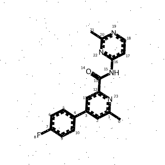 Cc1cc(-c2ccc(F)cc2)cc(C(=O)Nc2ccnc(C)n2)n1